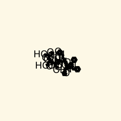 CC(=O)NC(CC(=O)O)C(=O)NC(CC(=O)O)C(=O)NC(CC(=O)O)C(=O)N(C)CCN(CCCN1CCOCC1)C(=O)Oc1c(Cc2ccco2)nc2c(Cc3ccccc3)nc(-c3ccccc3)cn12